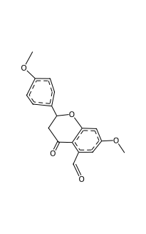 COc1ccc(C2CC(=O)c3c(C=O)cc(OC)cc3O2)cc1